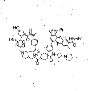 Cc1cc(F)c(Nc2nc(-c3ccc4c(c3)N([C@H]3C[C@@H](N5CCCCC5)C3)C(=O)C43CCN(C(=O)CCC4CCN(CC(=O)N[C@H](C(=O)N5C[C@H](O)C[C@H]5C(=O)N[C@@H](C)c5ccc(-c6scnc6C)cc5)C(C)(C)C)CC4)CC3)cc3ncn(C(C)C)c23)cc1C(=O)NC(C)C